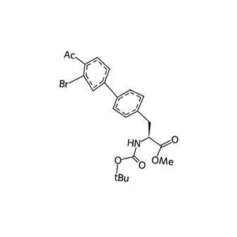 COC(=O)[C@H](Cc1ccc(-c2ccc(C(C)=O)c(Br)c2)cc1)NC(=O)OC(C)(C)C